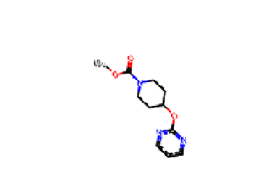 CC(C)(C)OC(=O)N1CCC(Oc2ncccn2)CC1